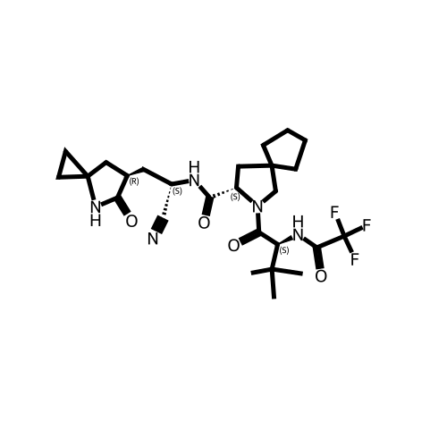 CC(C)(C)[C@H](NC(=O)C(F)(F)F)C(=O)N1CC2(CCCC2)C[C@H]1C(=O)N[C@H](C#N)C[C@@H]1CC2(CC2)NC1=O